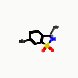 CCCCc1ccc2c(c1)S(=O)(=O)N[C@H]2CCC